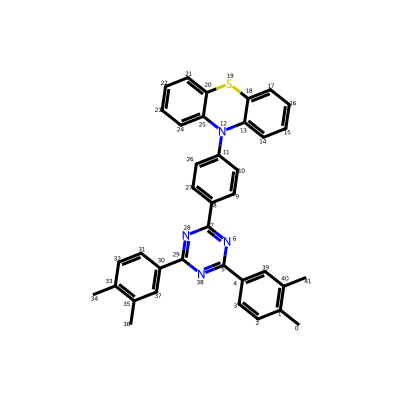 Cc1ccc(-c2nc(-c3ccc(N4c5ccccc5Sc5ccccc54)cc3)nc(-c3ccc(C)c(C)c3)n2)cc1C